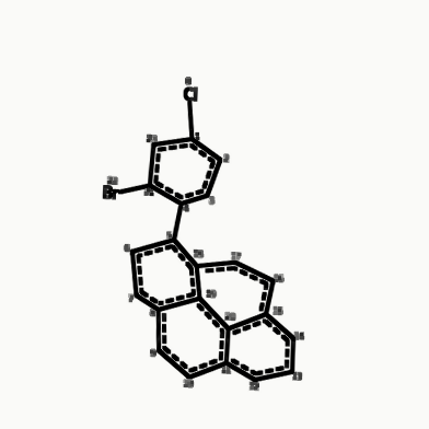 Clc1ccc(-c2ccc3ccc4cccc5ccc2c3c45)c(Br)c1